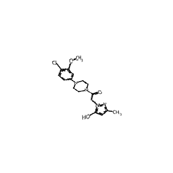 COc1cc(N2CCN(C(=O)Cn3nc(C)cc3O)CC2)ccc1Cl